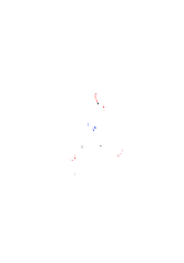 CC[C@H](C(=O)O)N(CCOC)CCOC